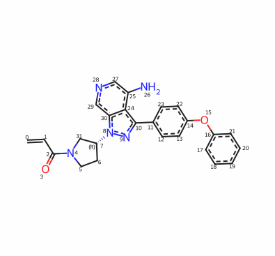 C=CC(=O)N1CC[C@@H](n2nc(-c3ccc(Oc4ccccc4)cc3)c3c(N)cncc32)C1